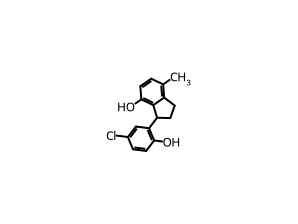 Cc1ccc(O)c2c1CCC2c1cc(Cl)ccc1O